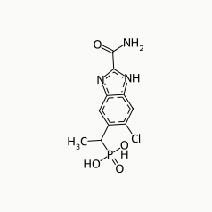 CC(c1cc2nc(C(N)=O)[nH]c2cc1Cl)P(=O)(O)O